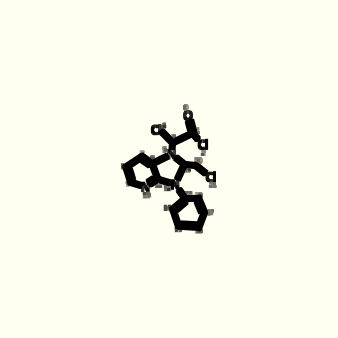 O=C(Cl)C(Cl)N1c2cccnc2N(c2ccccc2)C1CCl